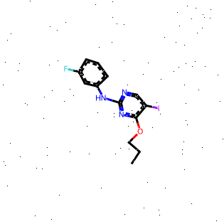 CCCOc1nc(Nc2cccc(F)c2)ncc1I